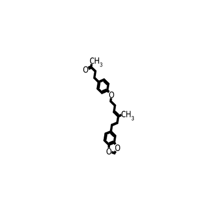 CC(=O)CCc1ccc(OCCC=C(C)CCc2ccc3c(c2)OCO3)cc1